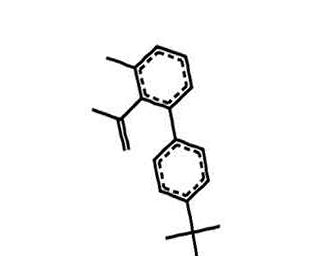 C=C(C)c1c(C)cccc1-c1ccc(C(C)(C)C)cc1